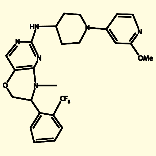 COc1cc(N2CCC(Nc3ncc4c(n3)N(C)C(c3ccccc3C(F)(F)F)CO4)CC2)ccn1